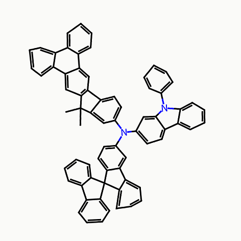 CC1(C)c2cc(N(c3ccc4c(c3)-c3ccccc3C43c4ccccc4-c4ccccc43)c3ccc4c5ccccc5n(-c5ccccc5)c4c3)ccc2-c2cc3c4ccccc4c4ccccc4c3cc21